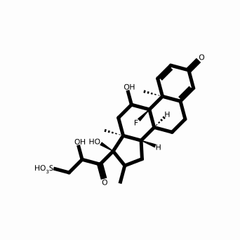 CC1C[C@H]2[C@@H]3CCC4=CC(=O)C=C[C@]4(C)[C@@]3(F)C(O)C[C@]2(C)[C@@]1(O)C(=O)C(O)CS(=O)(=O)O